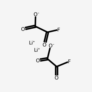 O=C([O-])C(=O)F.O=C([O-])C(=O)F.[Li+].[Li+]